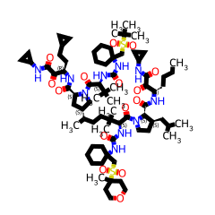 CCCC[C@H](NC(=O)[C@@H]1[C@@H](CC(C)C)CCN1C(=O)[C@@H](NC(=O)NC1(CS(=O)(=O)C2(C)CCOCC2)CCCCC1)C(C)(C)CCC(C)[C@@H]1C[C@@H](C(=O)N[C@H](CCC2CC2)C(=O)C(=O)NC2CC2)N(C(=O)[C@@H](NC(=O)NC2(CS(=O)(=O)C(C)(C)C)CCCCC2)C(C)(C)C)C1)C(=O)C(=O)NC1CC1